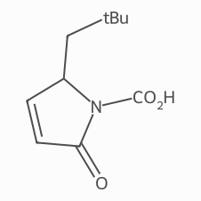 CC(C)(C)CC1C=CC(=O)N1C(=O)O